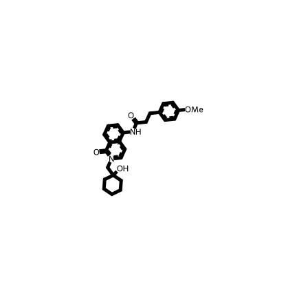 COc1ccc(CCC(=O)Nc2cccc3c(=O)n(CC4(O)CCCCC4)ccc23)cc1